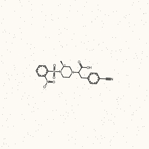 C[C@H]1CN(C(Cc2ccc(C#N)cc2)C(=O)O)CCN1S(=O)(=O)c1ccccc1[N+](=O)[O-]